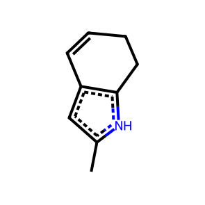 Cc1cc2c([nH]1)CCC=C2